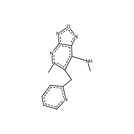 CNc1c(Cc2ccccn2)c(C)nc2nonc12